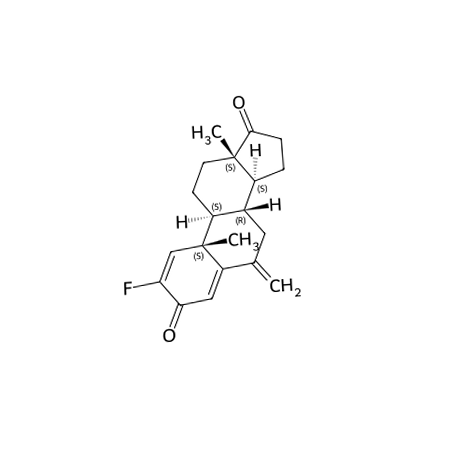 C=C1C[C@@H]2[C@H](CC[C@]3(C)C(=O)CC[C@@H]23)[C@@]2(C)C=C(F)C(=O)C=C12